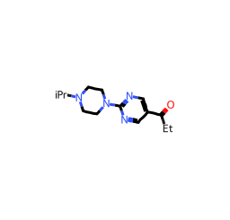 CCC(=O)c1cnc(N2CCN(C(C)C)CC2)nc1